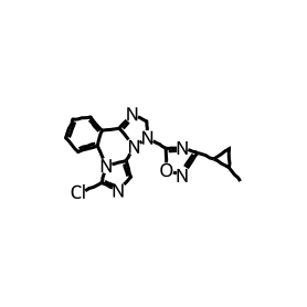 CC1CC1c1noc(N2CN=C3c4ccccc4-n4c(cnc4Cl)N32)n1